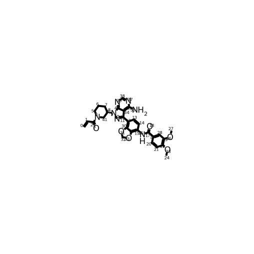 C=CC(=O)N1CCC[C@@H](n2nc(-c3ccc(NC(=O)c4ccc(OC)c(OC)c4)c4c3OCO4)c3c(N)ncnc32)C1